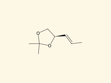 CC=C[C@@H]1COC(C)(C)O1